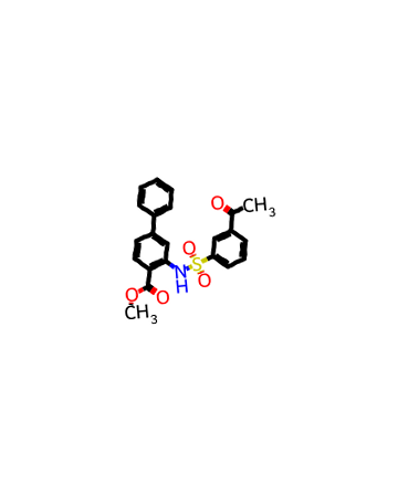 COC(=O)c1ccc(-c2ccccc2)cc1NS(=O)(=O)c1cccc(C(C)=O)c1